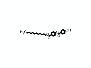 CCCCCCCCCCCCOC(=O)c1ccc(OC(=O)c2ccc(O)cc2)cc1